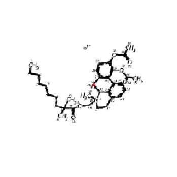 CCCCCCCCC(C)(C)C(=O)OC[N+]1(C)CCc2cccc3c2[C@@H]1Cc1ccc(OC(C)=O)c(OC(C)=O)c1-3.[I-]